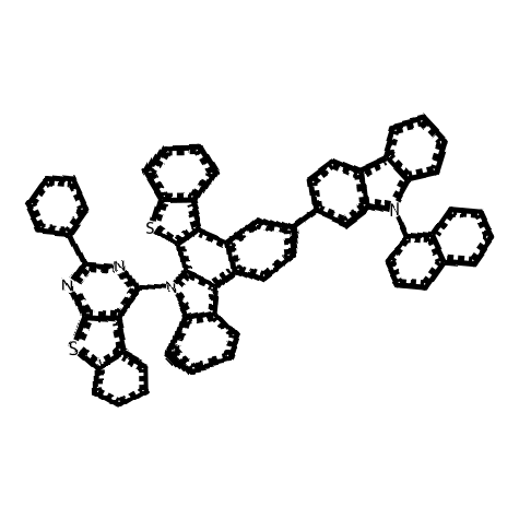 c1ccc(-c2nc(-n3c4ccccc4c4c5ccc(-c6ccc7c8ccccc8n(-c8cccc9ccccc89)c7c6)cc5c5c6ccccc6sc5c43)c3c(n2)sc2ccccc23)cc1